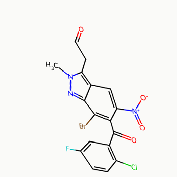 Cn1nc2c(Br)c(C(=O)c3cc(F)ccc3Cl)c([N+](=O)[O-])cc2c1CC=O